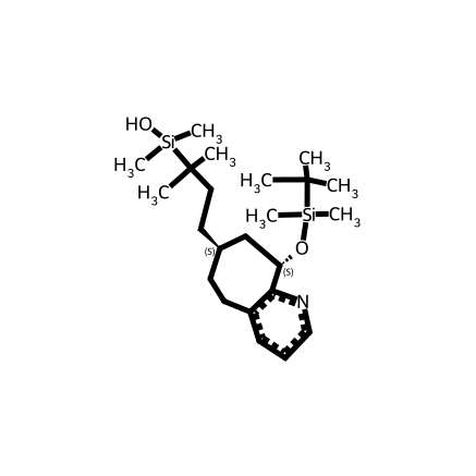 CC(C)(CC[C@@H]1CCc2cccnc2[C@@H](O[Si](C)(C)C(C)(C)C)C1)[Si](C)(C)O